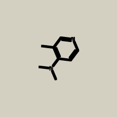 Cc1cnccc1N(C)C